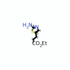 CCOC(=O)CCc1cnc(N)s1